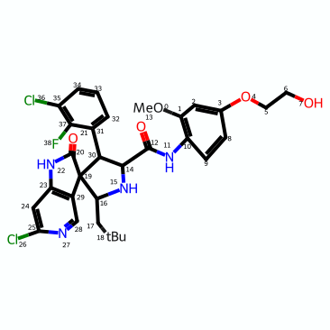 COc1cc(OCCO)ccc1NC(=O)C1NC(CC(C)(C)C)C2(C(=O)Nc3cc(Cl)ncc32)C1c1cccc(Cl)c1F